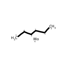 CCCCCC.[Mo]